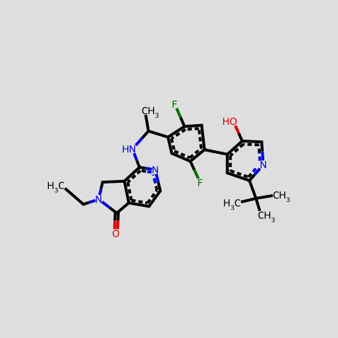 CCN1Cc2c(ccnc2NC(C)c2cc(F)c(-c3cc(C(C)(C)C)ncc3O)cc2F)C1=O